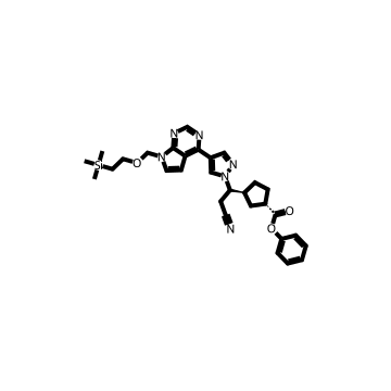 C[Si](C)(C)CCOCn1ccc2c(-c3cnn(C(CC#N)[C@H]4CC[C@H](C(=O)Oc5ccccc5)C4)c3)ncnc21